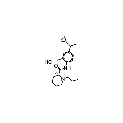 CCCN1CCCC[C@H]1C(=O)Nc1ccc(C(C)C2CC2)cc1C.Cl